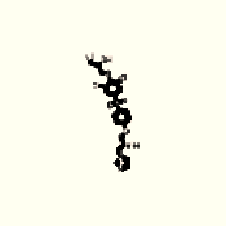 O=S(=O)(c1ccc(OC[C@H](O)Cn2ccnc2)cc1)c1cc(Cl)c(OC[C@@H](O)CCl)c(Cl)c1